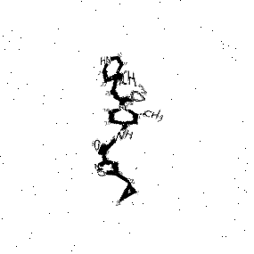 C[C@@H]1CC(NC(=O)c2cc(C3CC3)on2)CCN1C(=O)CC1(C)CCNCC1